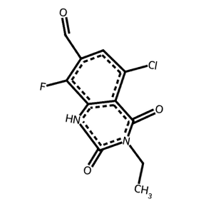 CCn1c(=O)[nH]c2c(F)c(C=O)cc(Cl)c2c1=O